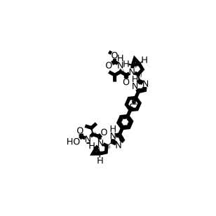 COC(=O)N[C@H](C(=O)N1[C@@H]2C[C@H]2C[C@H]1c1ncc(C23CCC(c4ccc(-c5cnc([C@@H]6C[C@H]7C[C@H]7N6C(=O)[C@H](C(C)C)N(C)C(=O)O)[nH]5)cc4)(CC2)CC3)[nH]1)C(C)C